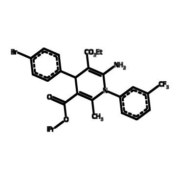 CCOC(=O)C1=C(N)N(c2cccc(C(F)(F)F)c2)C(C)=C(C(=O)OC(C)C)C1c1ccc(Br)cc1